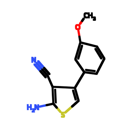 COc1cccc(-c2csc(N)c2C#N)c1